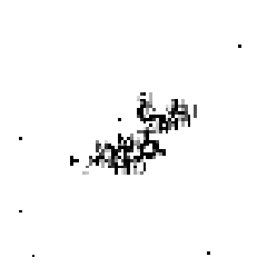 [2H]C([2H])([2H])n1nnc(-c2nc(Cl)ccc2N[C@@H](C)c2cc(C)cc3c(=O)n(C([2H])([2H])[2H])c4c(-c5cnc(N)nc5)ncn4c23)n1